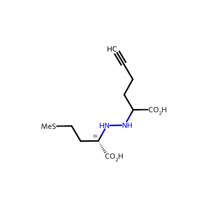 C#CCCC(NN[C@@H](CCSC)C(=O)O)C(=O)O